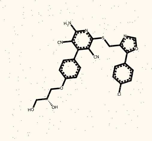 [C-]#[N+]c1c(N)nc(SCc2ncoc2-c2ccc(Cl)cc2)c(C#N)c1-c1ccc(OC[C@H](O)CO)cc1